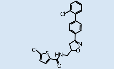 O=C(NCC1CC(c2ccc(-c3ccccc3Cl)cc2)=NO1)c1ccc(Cl)s1